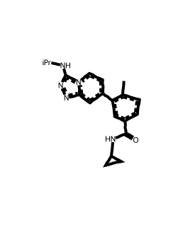 Cc1ccc(C(=O)NC2CC2)cc1-c1ccn2c(NC(C)C)nnc2c1